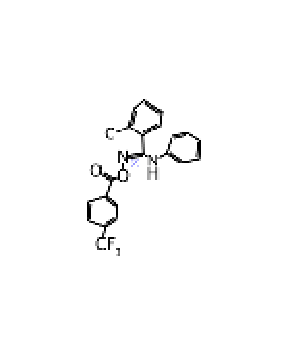 O=C(O/N=C(\Nc1ccccc1)c1ccccc1Cl)c1ccc(C(F)(F)F)cc1